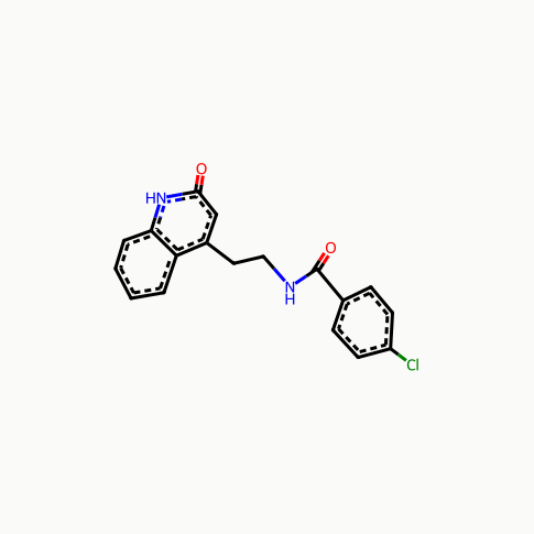 O=C(NCCc1cc(=O)[nH]c2ccccc12)c1ccc(Cl)cc1